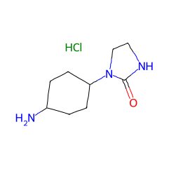 Cl.NC1CCC(N2CCNC2=O)CC1